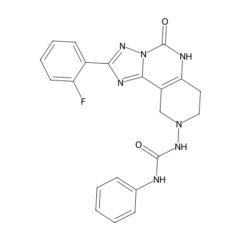 O=C(Nc1ccccc1)NN1CCc2[nH]c(=O)n3nc(-c4ccccc4F)nc3c2C1